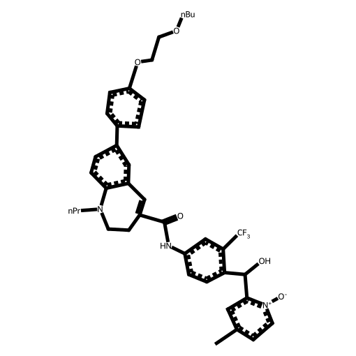 CCCCOCCOc1ccc(-c2ccc3c(c2)C=C(C(=O)Nc2ccc(C(O)c4cc(C)cc[n+]4[O-])c(C(F)(F)F)c2)CCN3CCC)cc1